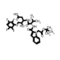 CC(C)[C@H](NC(=O)c1cc2ccccc2n1CC(=O)OC(C)(C)C)C(=O)NC(CC(=O)O)C(O)COc1c(F)c(F)cc(F)c1F